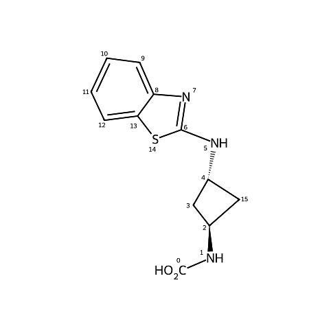 O=C(O)N[C@H]1C[C@H](Nc2nc3ccccc3s2)C1